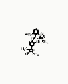 CSc1cccc(-n2nnn(C)c2=O)c1COc1ccc(-c2nn(C)c(Cl)c2C)cc1C